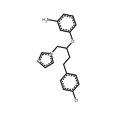 Nc1cccc(OC(CCc2ccc(Cl)cc2)Cn2ccnc2)c1